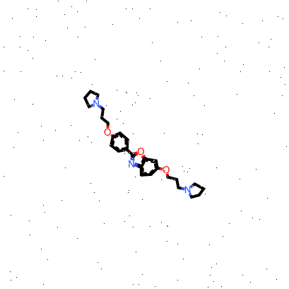 c1cc(-c2nc3ccc(OCCCN4CCCC4)cc3o2)ccc1OCCCN1CCCC1